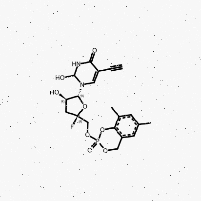 C#CC1=CN([C@@H]2O[C@](F)(COP3(=O)OCc4cc(C)cc(C)c4O3)C[C@H]2O)C(O)NC1=O